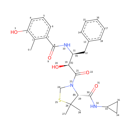 Cc1c(O)cccc1C(=O)N[C@@H](Cc1ccccc1)[C@H](O)C(=O)N1CSC(C)(C)[C@H]1C(=O)NC1CC1